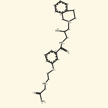 NC(=O)CNCCOc1cccc(C(=O)NCC(O)CN2CCc3ccccc3C2)c1